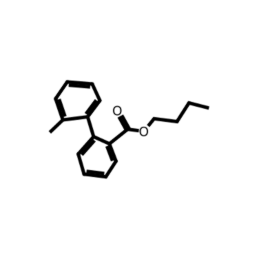 CCCCOC(=O)c1ccccc1-c1ccccc1C